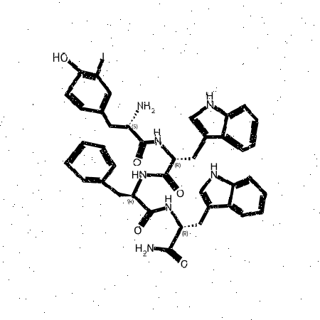 NC(=O)[C@@H](Cc1c[nH]c2ccccc12)NC(=O)[C@@H](Cc1ccccc1)NC(=O)[C@@H](Cc1c[nH]c2ccccc12)NC(=O)[C@@H](N)Cc1ccc(O)c(I)c1